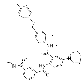 CCN[S+]([O-])c1cccc(C(=O)Nc2ccc(N3CCCCC3)cc2C(=O)Nc2ccc(CCc3ccc(C)cc3)cc2)c1